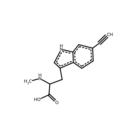 C#Cc1ccc2c(CC(NC)C(=O)O)c[nH]c2c1